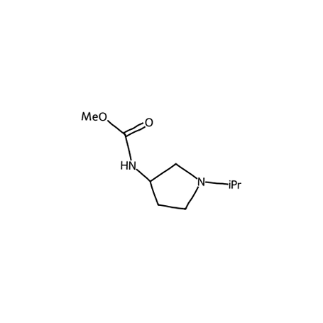 COC(=O)NC1CCN(C(C)C)C1